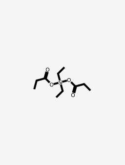 CCC(=O)O[Si](CC)(CC)OC(=O)CC